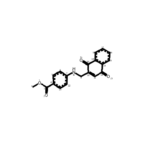 COC(=O)c1ccc(NCC2=CC(=O)c3ccccc3C2=O)cc1